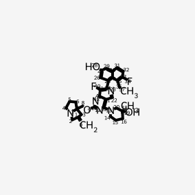 C=C1CN2CCCC2(COc2nc(N3CCC[C@@](C)(O)C3)c3cnc(-c4cc(O)cc5ccc(F)c(CC)c45)c(F)c3n2)C1